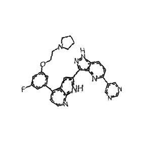 Fc1cc(OCCN2CCCC2)cc(-c2ccnc3[nH]c(-c4n[nH]c5ccc(-c6cncnc6)nc45)cc23)c1